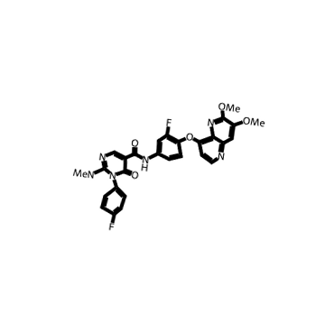 CNc1ncc(C(=O)Nc2ccc(Oc3ccnc4cc(OC)c(OC)nc34)c(F)c2)c(=O)n1-c1ccc(F)cc1